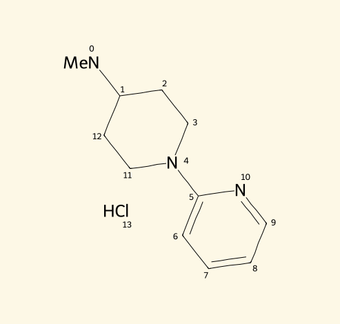 CNC1CCN(c2ccccn2)CC1.Cl